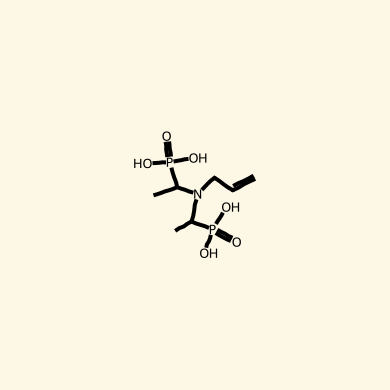 C=CCN(C(C)P(=O)(O)O)C(C)P(=O)(O)O